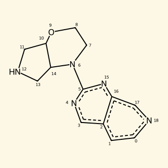 c1cc2cnc(N3CCOC4CNCC43)nc2cn1